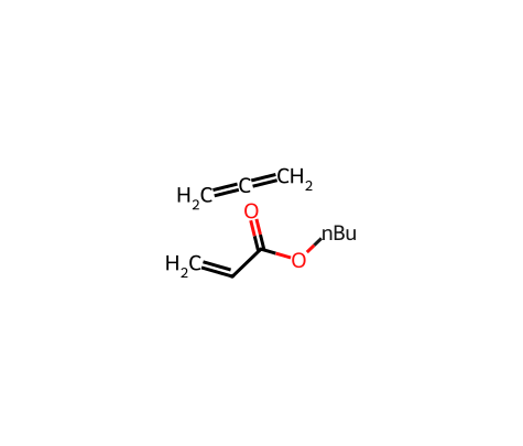 C=C=C.C=CC(=O)OCCCC